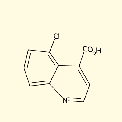 O=C(O)c1ccnc2cccc(Cl)c12